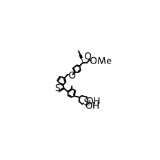 CC#C[C@@H](CC(=O)OC)c1ccc(OCc2ccc3scc(-c4ccc(C5CCS(O)(O)CC5)cc4C)c3c2)cc1